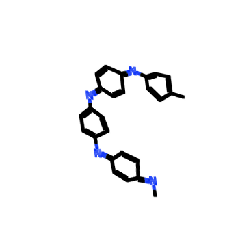 CN=C1C=CC(=Nc2ccc(N=C3C=CC(=Nc4ccc(C)cc4)C=C3)cc2)C=C1